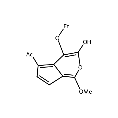 CCOc1c(O)oc(OC)c2ccc(C(C)=O)c1-2